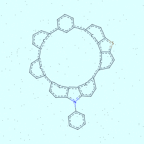 c1ccc(-n2c3ccc4cc3c3cc(ccc32)c2ccc3sc5ccc(cc5c3c2)c2cccc(c2)c2cccc(c2)c2cccc4c2)cc1